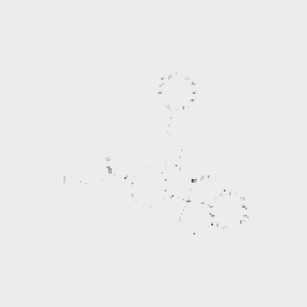 CC(C)(C)OC(=O)N1CCN(C2(C(=O)NCCc3ccccc3)CCc3ccccc32)CC1